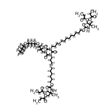 C=CC(=O)OCC(C)(COC(=O)C=C)NC(=O)OCCCCCCCCCSCCCn1c(=O)n(CCCSCCCCCCOC(=O)NC(C)(COC(=O)C=C)COC(=O)C=C)c(=O)n(CC(F)(F)C(F)(F)OC(F)(F)C(F)(F)C(F)(F)OC(F)(F)C(F)(F)C(F)(F)F)c1=O